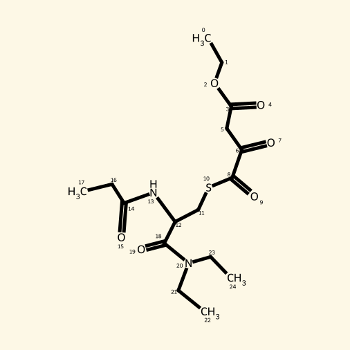 CCOC(=O)CC(=O)C(=O)SCC(NC(=O)CC)C(=O)N(CC)CC